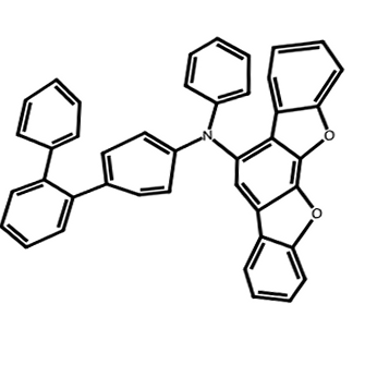 c1ccc(-c2ccccc2-c2ccc(N(c3ccccc3)c3cc4c5ccccc5oc4c4oc5ccccc5c34)cc2)cc1